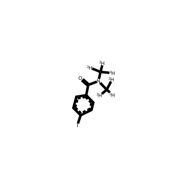 [2H]C([2H])([2H])N(C(=O)c1ccc(I)cc1)C([2H])([2H])[2H]